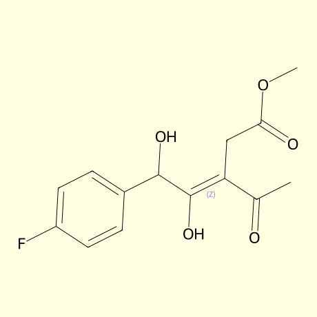 COC(=O)C/C(C(C)=O)=C(/O)C(O)c1ccc(F)cc1